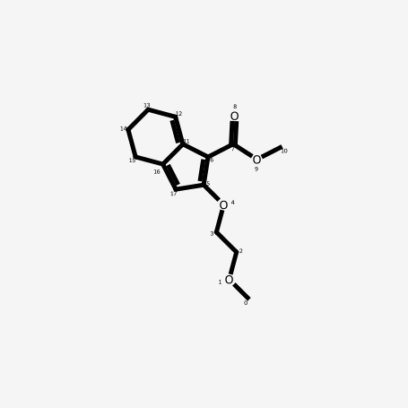 COCCOC1=C(C(=O)OC)C2=CCCCC2=C1